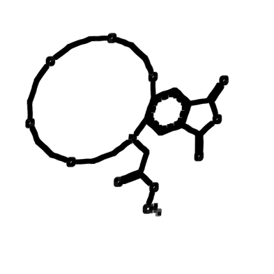 COC(=O)CN1CCOCCOCCOCCOCCOc2cc3c(cc21)C(=O)OC3=O